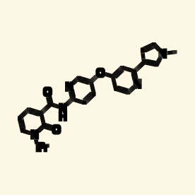 CC(C)n1cccc(C(=O)Nc2ccc(Oc3ccnc(-c4ccn(C)c4)c3)cn2)c1=O